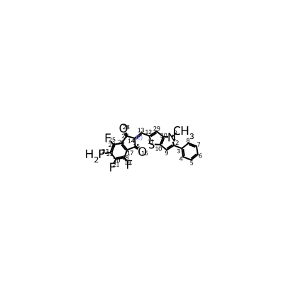 Cn1c(-c2ccccc2)cc2sc(/C=C3\C(=O)c4c(F)c(F)c(P)c(F)c4C3=O)cc21